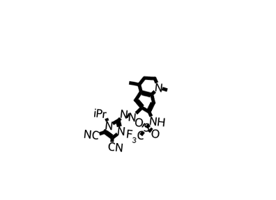 CC1CCN(C)c2cc(NS(=O)(=O)C(F)(F)F)c(N=Nc3nc(C#N)c(C#N)n3C(C)C)cc21